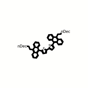 CCCCCCCCCCCCc1c2ccccc2c(-c2ccc(-c3ccc(-c4c5ccccc5c(CCCCCCCCCCCC)c5ccccc45)s3)s2)c2ccccc12